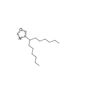 CCCCCCC(CCCCCC)c1cocn1